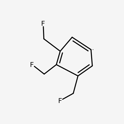 FCc1c[c]cc(CF)c1CF